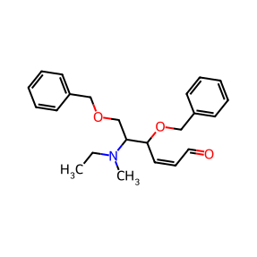 CCN(C)C(COCc1ccccc1)C(/C=C\C=O)OCc1ccccc1